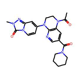 CC(=O)N1CCN(c2ccn3c(=O)n(C)nc3c2)c2ncc(C(=O)N3CCCCC3)cc21